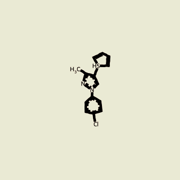 Cc1nn(-c2ccc(Cl)cc2)cc1[SH]1C=CC=C1